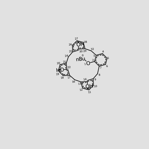 CCCCOc1c2cccc1Cc1cccc(c1O)Cc1cccc(c1O)Cc1cccc(c1O)C2